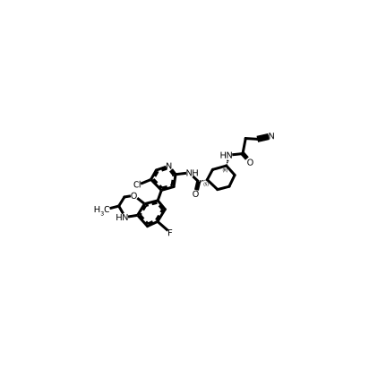 CC1COc2c(cc(F)cc2-c2cc(NC(=O)[C@H]3CCC[C@@H](NC(=O)CC#N)C3)ncc2Cl)N1